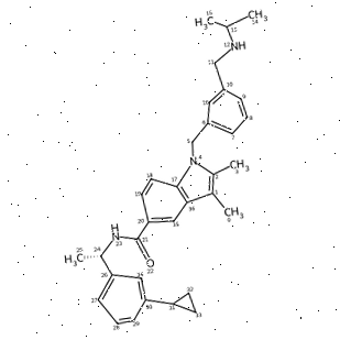 Cc1c(C)n(Cc2cccc(CNC(C)C)c2)c2ccc(C(=O)N[C@@H](C)c3cccc(C4CC4)c3)cc12